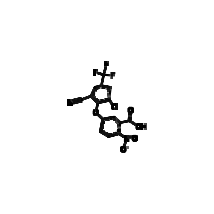 N#Cc1cc(C(F)(F)F)cc(Cl)c1Oc1ccc([N+](=O)[O-])c(C(=O)O)c1